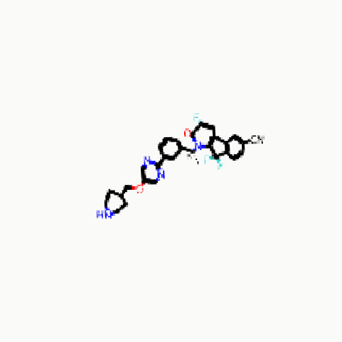 C[C@H](c1cccc(-c2ncc(OCC3CCNCC3)cn2)c1)n1c2c(cc(F)c1=O)-c1cc(C#N)ccc1C2(F)F